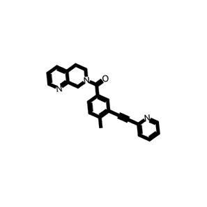 Cc1ccc(C(=O)N2CCc3cccnc3C2)cc1C#Cc1ccccn1